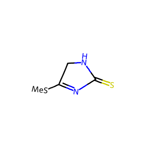 CSC1=NC(=S)NC1